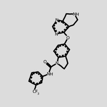 O=C(Nc1cccc(C(F)(F)F)c1)N1CCc2cc(Oc3ncnc4c3CCNC4)ccc21